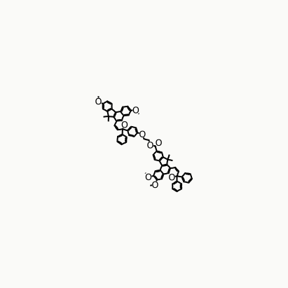 COc1ccc2c(c1)C(C)(C)c1c3c(c4cc(OC)ccc4c1-2)OC(c1ccccc1)(c1ccc(OCCOC(=O)c2ccc4c(c2)C(C)(C)c2c5c(c6cc(OC)c(OC)cc6c2-4)OC(c2ccccc2)(c2ccccc2)C=C5)cc1)C=C3